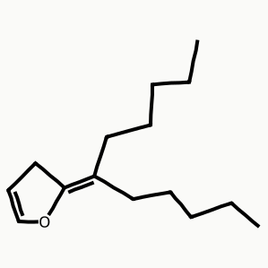 CCCCCC(CCCCC)=C1CC=CO1